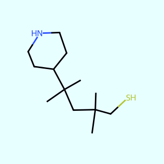 CC(C)(CS)CC(C)(C)C1CCNCC1